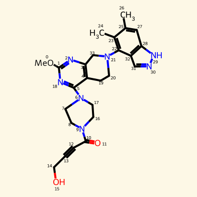 COc1nc2c(c(N3CCN(C(=O)C#CCO)CC3)n1)CCN(c1c(C)c(C)cc3[nH]ncc13)C2